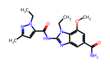 CCn1nc(C)cc1C(=O)Nc1nc2cc(C(N)=O)cc(OC)c2n1CC